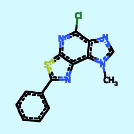 Cn1cnc2c(Cl)nc3sc(-c4ccccc4)nc3c21